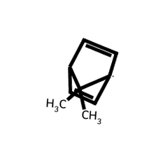 CC1(C)[C]2C=CC1C=C2